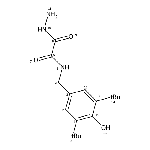 CC(C)(C)c1cc(CNC(=O)C(=O)NN)cc(C(C)(C)C)c1O